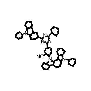 N#Cc1cc(-c2nc(-c3ccccc3)nc(-c3ccc4c(c3)c3ccccc3n4-c3ccccc3)n2)ccc1-n1c2ccccc2c2ccc3c(c4ccccc4n3-c3ccccc3)c21